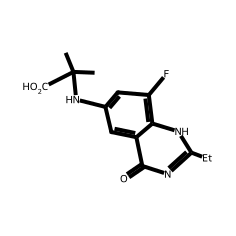 CCc1nc(=O)c2cc(NC(C)(C)C(=O)O)cc(F)c2[nH]1